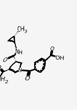 C[C@H]1C[C@@H]1NC(=O)[C@@H]1CN(C(=O)c2ccc(C(=O)O)cc2)C[C@H]1C(N)=O